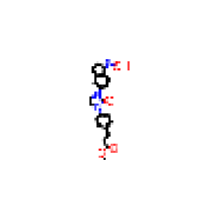 COC(=O)CCc1ccc(N2CCN(c3ccc4c(c3)CC/C4=N/O)C2=O)cc1